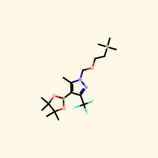 Cc1c(B2OC(C)(C)C(C)(C)O2)c(C(F)(F)F)nn1COCC[Si](C)(C)C